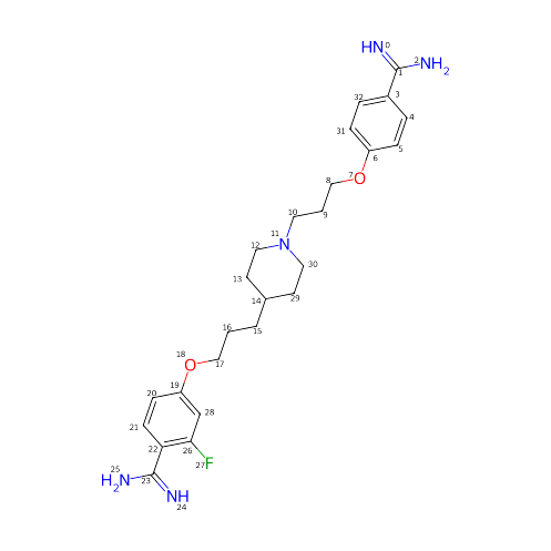 N=C(N)c1ccc(OCCCN2CCC(CCCOc3ccc(C(=N)N)c(F)c3)CC2)cc1